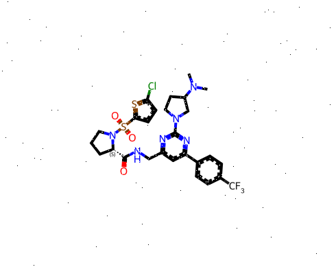 CN(C)C1CCN(c2nc(CNC(=O)[C@@H]3CCCN3S(=O)(=O)c3ccc(Cl)s3)cc(-c3ccc(C(F)(F)F)cc3)n2)C1